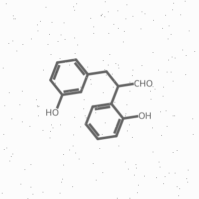 O=CC(Cc1cccc(O)c1)c1ccccc1O